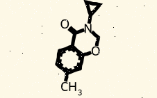 Cc1ccc2c(c1)OCN(C1CC1)C2=O